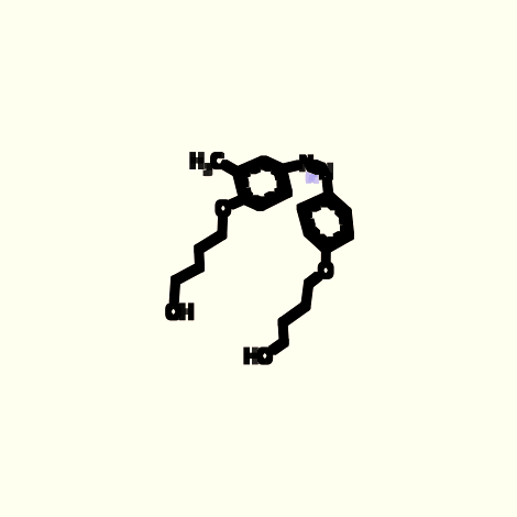 Cc1cc(/N=N\c2ccc(OCCCCO)cc2)ccc1OCCCCO